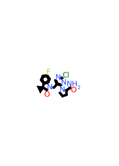 NC(=O)C1CCCN1c1nc(Cl)ncc1CN1C(=O)C2(CC2)c2ccc(F)cc21